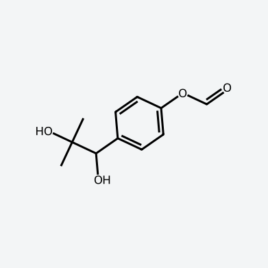 CC(C)(O)C(O)c1ccc(OC=O)cc1